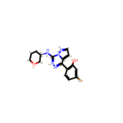 Oc1cc(Br)ccc1-c1nnc(N[C@@H]2CCCOC2)n2nccc12